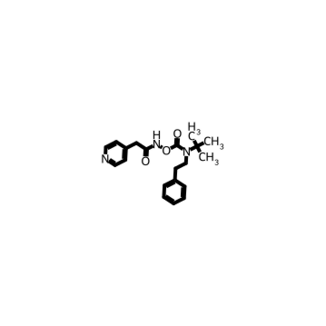 CC(C)(C)N(CCc1ccccc1)C(=O)ONC(=O)Cc1ccncc1